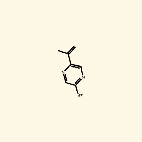 C=C(C)c1cnc(C(C)C)cn1